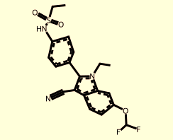 CCn1c(-c2ccc(NS(=O)(=O)CC)cc2)c(C#N)c2ccc(OC(F)F)cc21